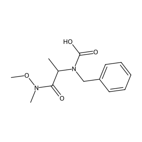 CON(C)C(=O)C(C)N(Cc1ccccc1)C(=O)O